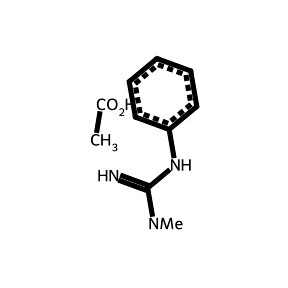 CC(=O)O.CNC(=N)Nc1ccccc1